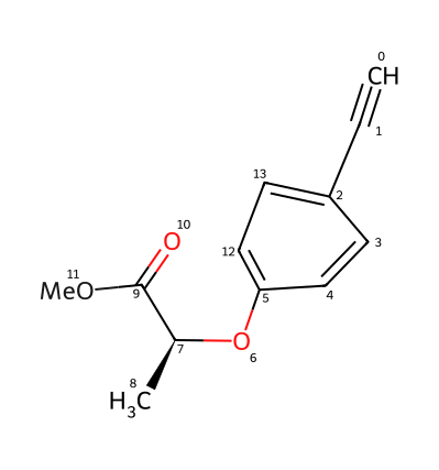 C#Cc1ccc(O[C@@H](C)C(=O)OC)cc1